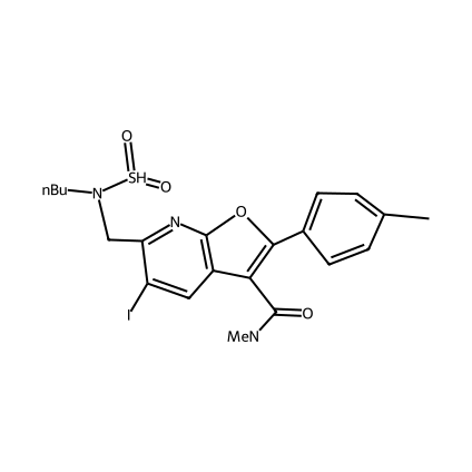 [CH2]CCCN(Cc1nc2oc(-c3ccc(C)cc3)c(C(=O)NC)c2cc1I)[SH](=O)=O